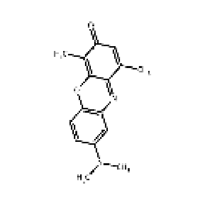 Cc1cc(=O)c(C)c2oc3ccc(N(C)C)cc3nc1-2